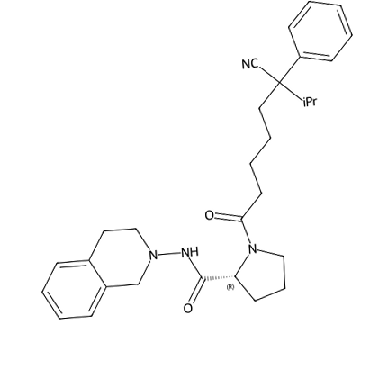 CC(C)C(C#N)(CCCCC(=O)N1CCC[C@@H]1C(=O)NN1CCc2ccccc2C1)c1ccccc1